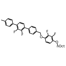 CCCCCCCCOc1ccc(OCc2ccc(-c3ccc(-c4ccc(C)cc4)c(F)c3F)cc2)c(F)c1F